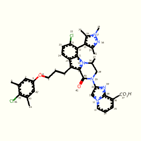 Cc1cc(OCCCc2c3n(c4c(-c5c(C)nn(C)c5C)c(Cl)ccc24)C(C)CN(c2cn4cccc(C(=O)O)c4n2)C3=O)cc(C)c1Cl